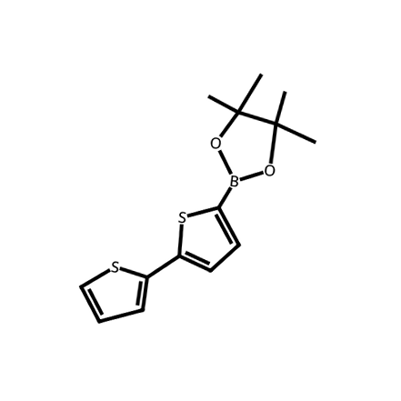 CC1(C)OB(c2ccc(-c3cccs3)s2)OC1(C)C